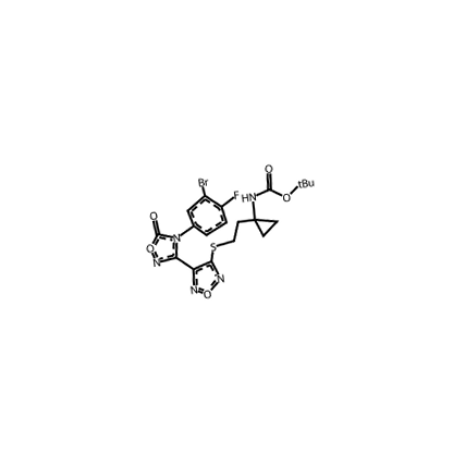 CC(C)(C)OC(=O)NC1(CCSc2nonc2-c2noc(=O)n2-c2ccc(F)c(Br)c2)CC1